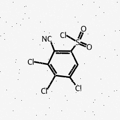 N#Cc1c(S(=O)(=O)Cl)cc(Cl)c(Cl)c1Cl